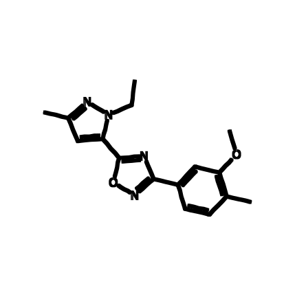 CCn1nc(C)cc1-c1nc(-c2ccc(C)c(OC)c2)no1